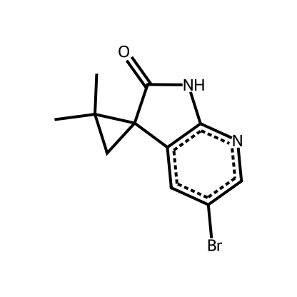 CC1(C)CC12C(=O)Nc1ncc(Br)cc12